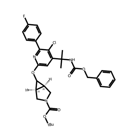 CC(C)(C)OC(=O)N1C[C@@H]2C(Oc3cc(C(C)(C)NC(=O)OCc4ccccc4)c(Cl)c(-c4ccc(F)cc4)n3)[C@@H]2C1